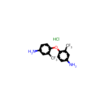 Cl.Nc1ccc(Oc2ccc(N)cc2C(F)(F)F)c(C(F)(F)F)c1